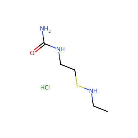 CCNSCCNC(N)=O.Cl